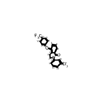 O=C1c2cccc(Oc3ccc(C(F)(F)F)cc3)c2CCN1c1cccc(C(F)(F)F)c1